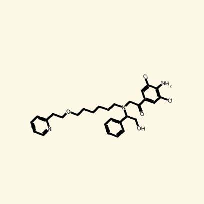 Nc1c(Cl)cc(C(=O)CN(CCCCCCOCCc2ccccn2)C(CO)c2ccccc2)cc1Cl